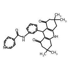 CC1(C)CC(=O)C2=C(C1)NC1=C(C(=O)CC(C)(C)C1)C2c1cccc(NC(=O)c2ccncc2)c1